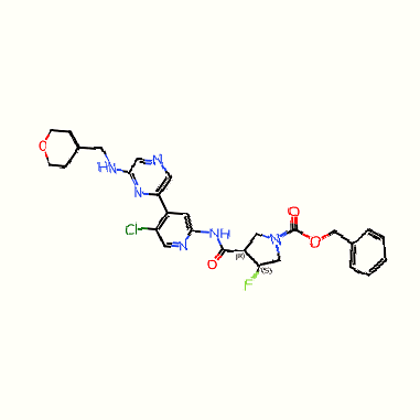 O=C(Nc1cc(-c2cncc(NCC3CCOCC3)n2)c(Cl)cn1)[C@H]1CN(C(=O)OCc2ccccc2)C[C@H]1F